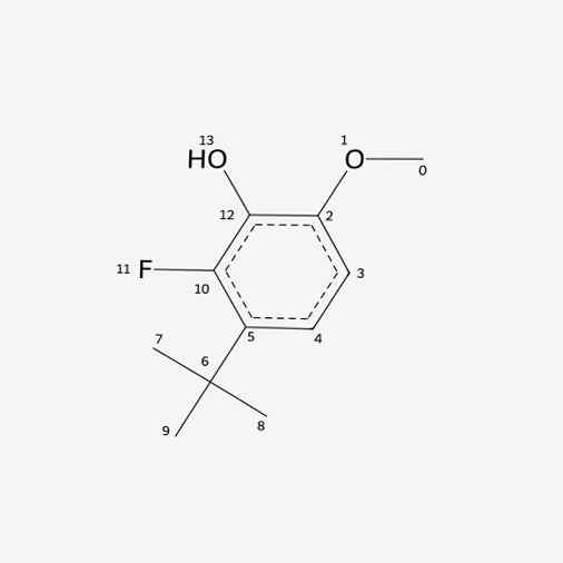 COc1ccc(C(C)(C)C)c(F)c1O